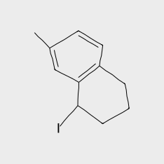 Cc1ccc2c(c1)C(I)CCC2